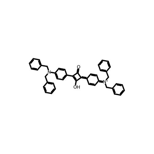 O=C1C(=C2C=CC(=[N+](Cc3ccccc3)Cc3ccccc3)C=C2)C(O)=C1c1ccc(N(Cc2ccccc2)Cc2ccccc2)cc1